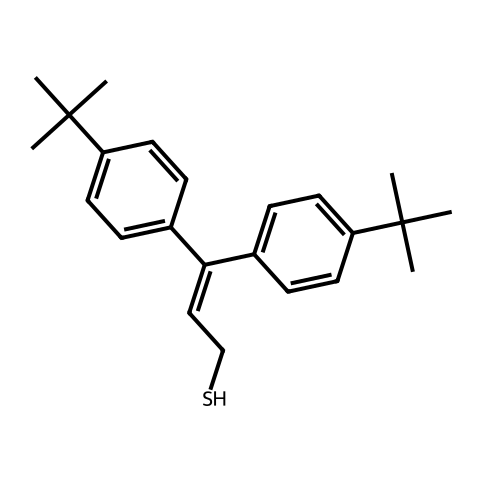 CC(C)(C)c1ccc(C(=CCS)c2ccc(C(C)(C)C)cc2)cc1